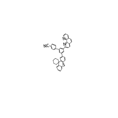 N#Cc1ccc(-c2cc(-c3ccc4c(c3)C3(CCCCC3)c3ccccc3S4)cc(-c3ccc4ccc5cccnc5c4n3)c2)cc1